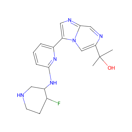 CC(C)(O)c1cn2c(-c3cccc(NC4CNCCC4F)n3)cnc2cn1